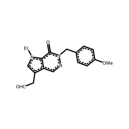 CCn1cc(CC=O)c2cnn(Cc3ccc(OC)cc3)c(=O)c21